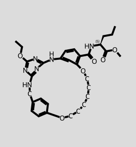 CCC[C@H](NC(=O)c1ccc2cc1OCCCCCCOc1ccc(cc1)CNc1nc(nc(OCC)n1)N2)C(=O)OC